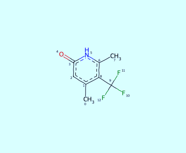 Cc1cc(=O)[nH]c(C)c1C(F)(F)F